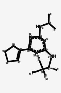 CC(C)Nc1nc(N[C@H](C)C(F)(F)F)nc(C2=CCCC2)n1